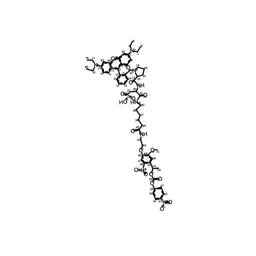 CCN(CC)c1ccc2c(-c3ccccc3C(=O)N3CCCC3C(=O)NC(CS(=O)(=O)O)C(=O)NCCCCCC(=O)NCCOc3cc([N+](=O)[O-])c(C(C)OC(=O)Oc4ccc([N+](=O)[O-])cc4)cc3OC)c3ccc(N(CC)CC)cc3[o+]c2c1